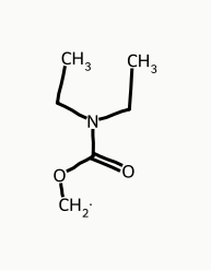 [CH2]OC(=O)N(CC)CC